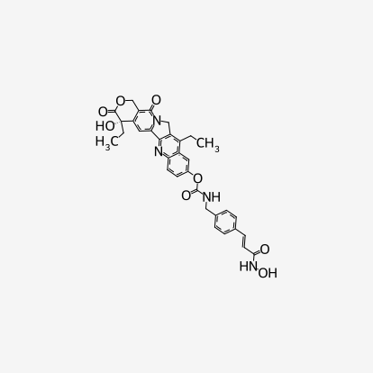 CCc1c2c(nc3ccc(OC(=O)NCc4ccc(/C=C/C(=O)NO)cc4)cc13)-c1cc3c(c(=O)n1C2)COC(=O)[C@]3(O)CC